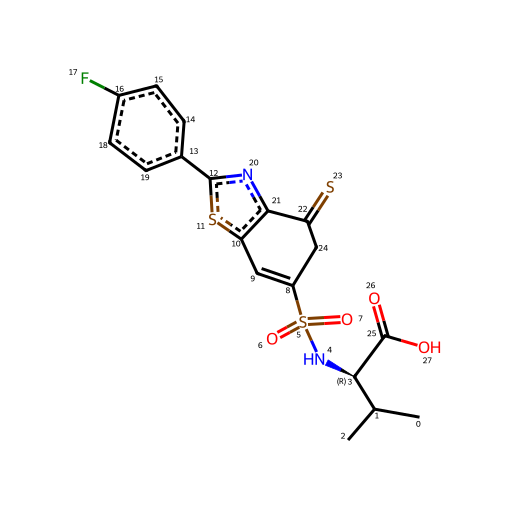 CC(C)[C@@H](NS(=O)(=O)C1=Cc2sc(-c3ccc(F)cc3)nc2C(=S)C1)C(=O)O